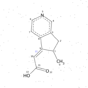 CC1Cc2cnccc2/C1=C/C(=O)O